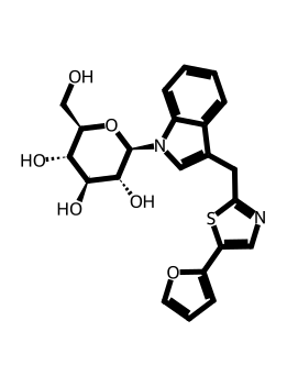 OC[C@H]1O[C@@H](n2cc(Cc3ncc(-c4ccco4)s3)c3ccccc32)[C@H](O)[C@@H](O)[C@@H]1O